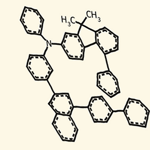 CC1(C)c2cc(N(c3ccccc3)c3cccc(-c4cc(-c5ccc(-c6ccccc6)cc5)c5ccccc5c4)c3)ccc2-c2c(-c3ccccc3)cccc21